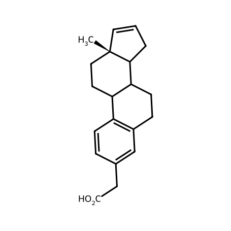 C[C@@]12C=CCC1C1CCc3cc(CC(=O)O)ccc3C1CC2